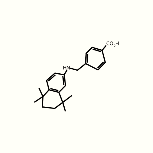 CC1(C)CCC(C)(C)c2cc(NCc3ccc(C(=O)O)cc3)ccc21